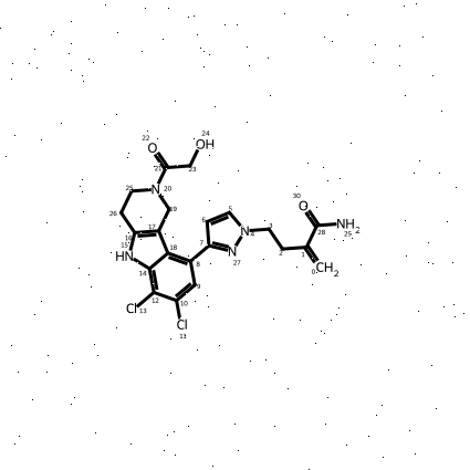 C=C(CCn1ccc(-c2cc(Cl)c(Cl)c3[nH]c4c(c23)CN(C(=O)CO)CC4)n1)C(N)=O